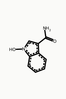 NC(=O)c1cn(O)c2ccccc12